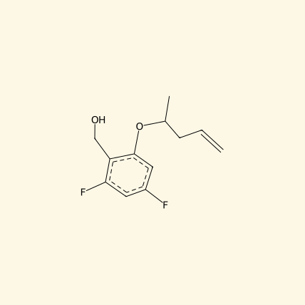 C=CCC(C)Oc1cc(F)cc(F)c1CO